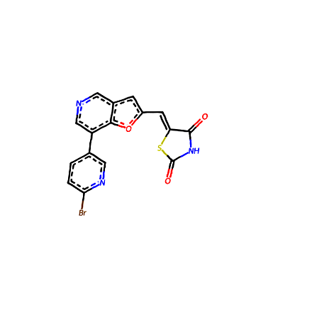 O=C1NC(=O)C(=Cc2cc3cncc(-c4ccc(Br)nc4)c3o2)S1